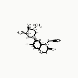 C#CCN1C(=O)COc2cc(F)c(N3CN(C)C(=S)N(C)C3)cc21